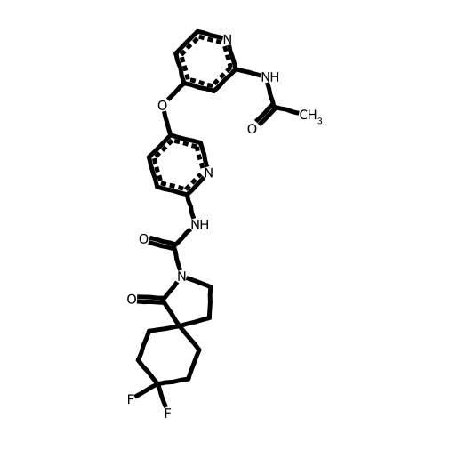 CC(=O)Nc1cc(Oc2ccc(NC(=O)N3CCC4(CCC(F)(F)CC4)C3=O)nc2)ccn1